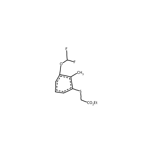 CCOC(=O)CSc1cccc(OC(F)F)c1C